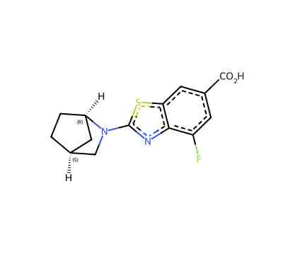 O=C(O)c1cc(F)c2nc(N3C[C@H]4CC[C@@H]3C4)sc2c1